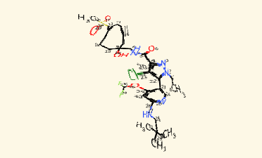 CCn1nc(C(=O)NCC2(O)CCC(S(C)(=O)=O)CC2)c(Cl)c1-c1cnc(NCC(C)(C)C)cc1OC(F)F